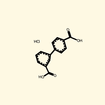 Cl.O=C(O)c1ccc(-c2cccc(C(=O)O)c2)cc1